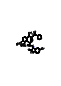 C=C(NC(=O)c1ccccc1)c1ccc(OC)c(OC)c1C(=O)N/N=C1\C(=O)Nc2ccc(Br)cc21